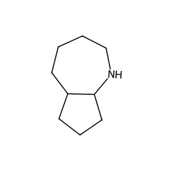 C1CCC2CCCC2NC1